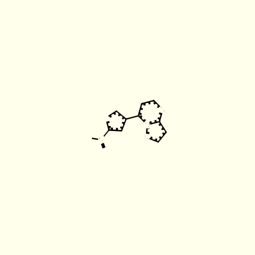 O=[N+]([O-])c1cc(-c2ccnc3[c]cnn23)cs1